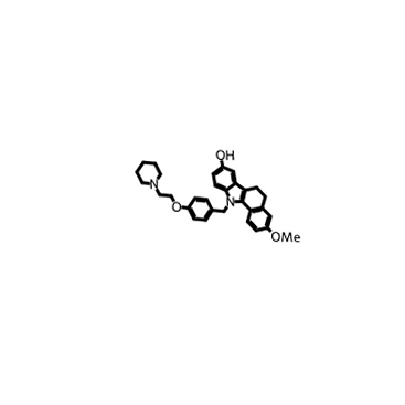 COc1ccc2c(c1)CCc1c-2n(Cc2ccc(OCCN3CCCCC3)cc2)c2ccc(O)cc12